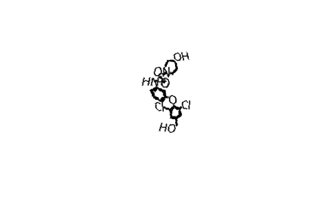 O=S(=O)(Nc1cccc(Oc2c(Cl)cc(CO)cc2Cl)c1)N1CCC(O)CC1